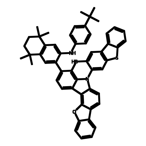 CC(C)(C)c1ccc(Nc2cc3c(cc2-c2ccc4c5c6oc7ccccc7c6ccc5n5c4c2Bc2cc4c(cc2-5)sc2ccccc24)C(C)(C)CCC3(C)C)cc1